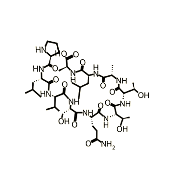 CC(C)C[C@H](NC(=O)[C@H](C)NC(=O)[C@@H](NC(=O)[C@@H](NC(=O)[C@H](CCC(N)=O)NC(=O)[C@H](CO)NC(=O)[C@@H](NC(=O)[C@H](CC(C)C)NC(=O)[C@@H]1CCCN1)C(C)C)[C@@H](C)O)[C@@H](C)O)C(=O)N[C@@H](C)C(=O)O